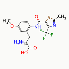 COc1ccc(NC(=O)c2sc(C)nc2C(F)(F)F)c(C[C@H](N)C(=O)O)c1